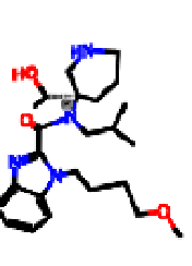 COCCCCn1c(C(=O)N(CC(C)C)[C@]2(C(C)O)CCCNC2)nc2ccccc21